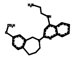 NCCNc1cc(N2CCCc3ccc(OC(=O)O)cc3C2)nc2ccccc12